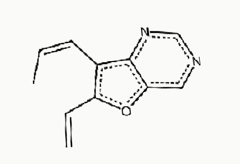 C=Cc1oc2cncnc2c1/C=C\C